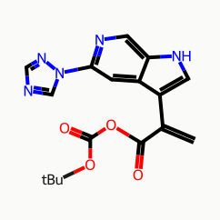 C=C(C(=O)OC(=O)OC(C)(C)C)c1c[nH]c2cnc(-n3cncn3)cc12